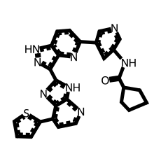 O=C(Nc1cncc(-c2ccc3[nH]nc(-c4nc5c(-c6cccs6)ccnc5[nH]4)c3n2)c1)C1CCCC1